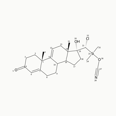 C[C@]12CCC(=O)C=C1CCC1C2=CC[C@@]2(C)C1CC[C@]2(O)[C@H](Cl)[Si](C)(C)OC#N